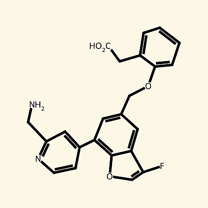 NCc1cc(-c2cc(COc3ccccc3CC(=O)O)cc3c(F)coc23)ccn1